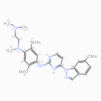 COc1ccc2cnn(-c3ccnc(Nc4cc(NC(C)=O)c(N(C)CCN(C)C)cc4OC)n3)c2c1